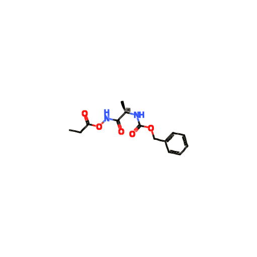 CCC(=O)ONC(=O)[C@@H](C)NC(=O)OCc1ccccc1